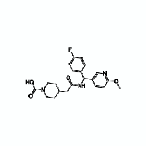 COc1ccc(C(NC(=O)CC2CCN(C(=O)O)CC2)c2ccc(F)cc2)cn1